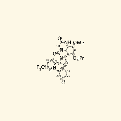 COc1cc(OC(C)C)c2c3c1NC(=O)CN3C(=O)N1C2=N[C@@H](c2ccc(Cl)cc2)[C@H]1c1ccc(C(F)(F)F)cn1